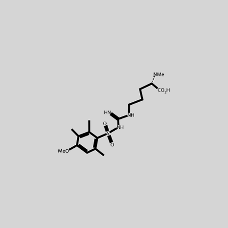 CN[C@@H](CCCNC(=N)NS(=O)(=O)c1c(C)cc(OC)c(C)c1C)C(=O)O